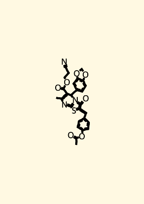 CC(=O)Oc1ccc(C=c2sc3n(c2=O)C(c2ccc4c(c2)OCO4)C(C(=O)OCCC#N)=C(C)N=3)cc1